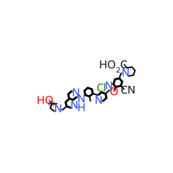 Cc1c(Nc2nccc3cc(CN4CC[C@@H](O)C4)cnc23)cccc1-c1nccc(-c2nc3cc(CN4CCCCC4C(=O)O)cc(C#N)c3o2)c1Cl